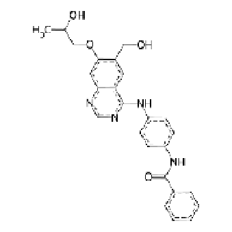 CC(O)COc1cc2ncnc(Nc3ccc(NC(=O)c4ccccc4)cc3)c2cc1CO